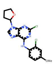 COc1ccc(Nc2nc(Cl)nc3c2ncn3C2CCCO2)c(Cl)c1